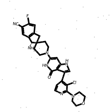 N#Cc1cc2c(cc1F)CC1(CCN(c3cc4[nH]cc(-c5ccnc(N6CCOCC6)c5Cl)c4c(=O)[nH]3)CC1)[C@@H]2N